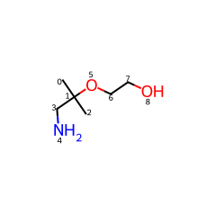 CC(C)(CN)OCCO